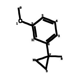 COc1cccc(C2(C)CC2)c1